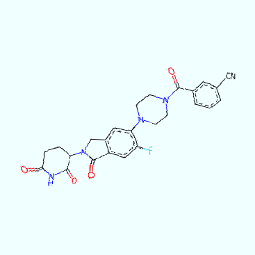 N#Cc1cccc(C(=O)N2CCN(c3cc4c(cc3F)C(=O)N(C3CCC(=O)NC3=O)C4)CC2)c1